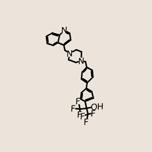 OC(c1ccc(-c2ccc(CN3CCN(Cc4ccnc5ccccc45)CC3)cc2)cc1)(C(F)(F)F)C(F)(F)F